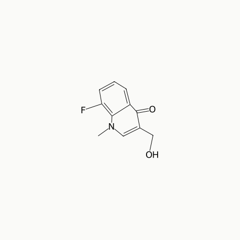 Cn1cc(CO)c(=O)c2cccc(F)c21